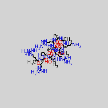 CC(C)[C@H](NC(=O)[C@H](CCCNC(=N)N)NC(=O)[C@@H](NC(=O)[C@H](C)NC(=O)[C@H](CCCCN)NC(=O)[C@@H](NC(=O)[C@H](CCCNC(=N)N)NC(=O)[C@@H](NC(=O)[C@@H]1CCCN1C(=O)[C@H](CCCNC(=N)N)NC(=O)[C@@H](C)CCCNC(=N)N)[C@@H](C)O)[C@@H](C)O)C(C)C)C(N)=O